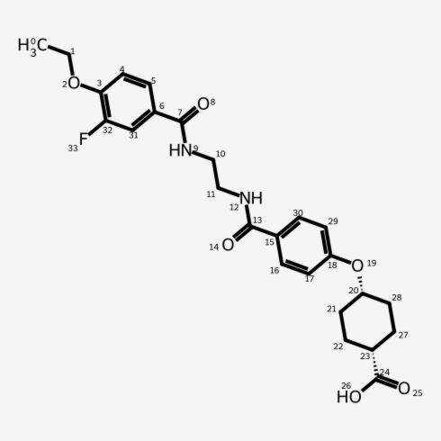 CCOc1ccc(C(=O)NCCNC(=O)c2ccc(O[C@H]3CC[C@@H](C(=O)O)CC3)cc2)cc1F